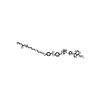 C=CCCC(=O)NCCCCCCCCCCCCOc1ccc(C(=O)Oc2ccc(CSP(=O)(O)OC[C@@H]3CC[C@H](n4cnc5c(N)ncnc54)O3)cc2)cc1